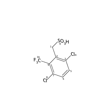 O=S(=O)(O)Cc1c(Cl)ccc(Cl)c1C(F)(F)F